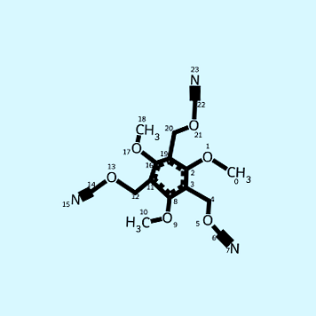 COc1c(COC#N)c(OC)c(COC#N)c(OC)c1COC#N